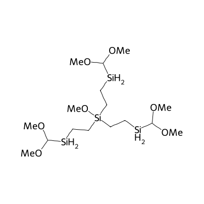 COC(OC)[SiH2]CC[Si](CC[SiH2]C(OC)OC)(CC[SiH2]C(OC)OC)OC